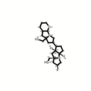 F[C@@H]1CN2[C@H]3CCC(C4CN5C6OCCCC6CC5(CS)C4)[C@H]3C[C@@]2(CS)C1